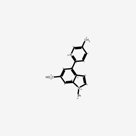 Cc1ccc(-c2cc(C(=O)O)cc3c2ccn3C(C)C)nc1